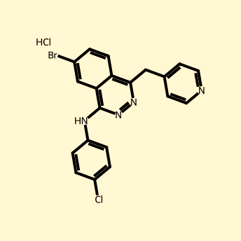 Cl.Clc1ccc(Nc2nnc(Cc3ccncc3)c3ccc(Br)cc23)cc1